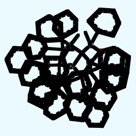 C[Si](c1ccccc1)(c1ccccc1)[C]([Cr]([C]([Si](C)(c1ccccc1)c1ccccc1)([Si](C)(c1ccccc1)c1ccccc1)[Si](C)(c1ccccc1)c1ccccc1)[C]([Si](C)(c1ccccc1)c1ccccc1)([Si](C)(c1ccccc1)c1ccccc1)[Si](C)(c1ccccc1)c1ccccc1)([Si](C)(c1ccccc1)c1ccccc1)[Si](C)(c1ccccc1)c1ccccc1